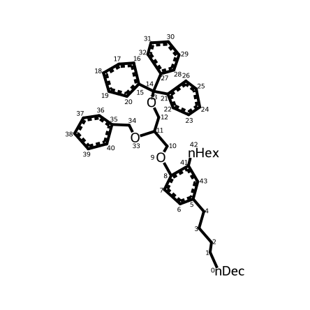 CCCCCCCCCCCCCCc1ccc(OCC(COC(c2ccccc2)(c2ccccc2)c2ccccc2)OCc2ccccc2)c(CCCCCC)c1